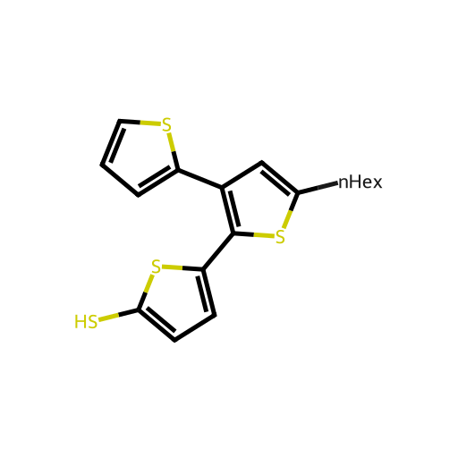 CCCCCCc1cc(-c2cccs2)c(-c2ccc(S)s2)s1